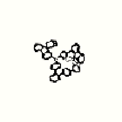 CC1(C)c2ccccc2-c2cccc(-c3ccc(N(c4ccc(-c5ccccc5-c5ccc(-c6ccccc6)cc5)cc4)c4ccc5c(c4)C4(CC6CCC4C6)c4ccccc4-5)cc3)c21